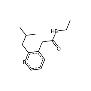 CCBC(=O)Cc1cccbc1CC(C)C